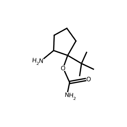 CC(C)(C)C1(OC(N)=O)CCCC1N